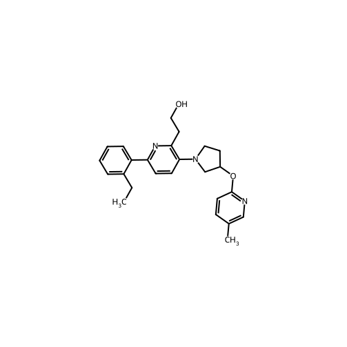 CCc1ccccc1-c1ccc(N2CCC(Oc3ccc(C)cn3)C2)c(CCO)n1